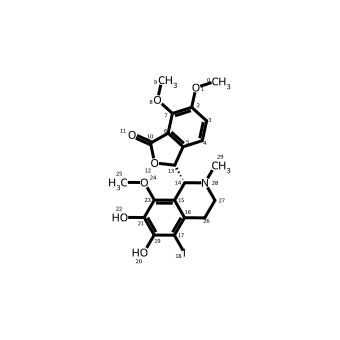 COc1ccc2c(c1OC)C(=O)OC2[C@H]1c2c(c(I)c(O)c(O)c2OC)CCN1C